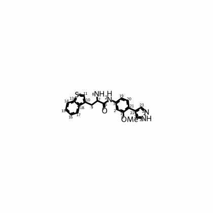 COc1cc(NC(=O)C(N)Cc2csc3ccccc23)ccc1-c1cn[nH]c1